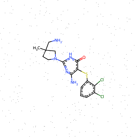 CC1(CN)CCN(c2nc(N)c(Sc3cccc(Cl)c3Cl)c(=O)[nH]2)C1